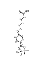 CC1(C)OB(c2ccc(OCCCCCC(=O)O)cc2)OC1(C)C